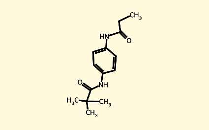 CCC(=O)Nc1ccc(NC(=O)C(C)(C)C)cc1